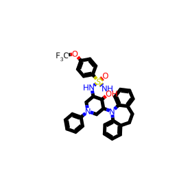 N=S(=O)(NC1CN(c2ccccc2)CC(N2c3ccccc3CCc3ccccc32)C1O)c1ccc(OC(F)(F)F)cc1